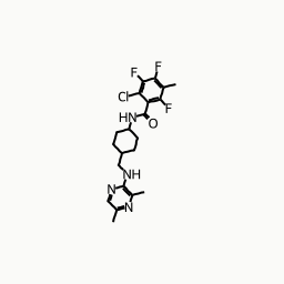 Cc1cnc(NCC2CCC(NC(=O)c3c(F)c(C)c(F)c(F)c3Cl)CC2)c(C)n1